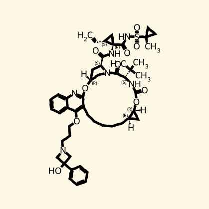 C=C[C@@H]1C[C@]1(NC(=O)[C@@H]1C[C@@H]2CN1C(=O)[C@H](C(C)(C)C)NC(=O)O[C@@H]1C[C@H]1CCCCCc1c(nc3ccccc3c1OCCCN1CC(O)(c3ccccc3)C1)O2)C(=O)NS(=O)(=O)C1(C)CC1